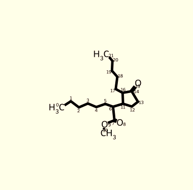 CCCCCCC(C(=O)OC)C1CCC(=O)C1CCCCC